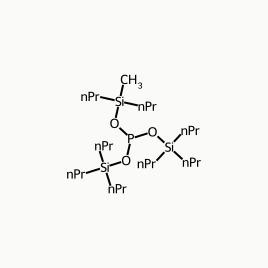 CCC[Si](C)(CCC)OP(O[Si](CCC)(CCC)CCC)O[Si](CCC)(CCC)CCC